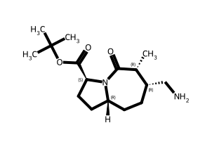 C[C@H]1C(=O)N2[C@H](CC[C@H]1CN)CC[C@H]2C(=O)OC(C)(C)C